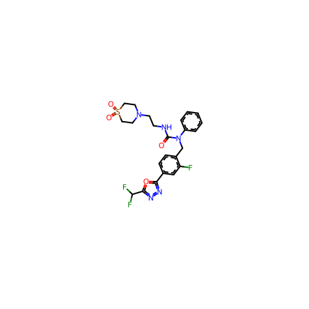 O=C(NCCN1CCS(=O)(=O)CC1)N(Cc1ccc(-c2nnc(C(F)F)o2)cc1F)c1ccccc1